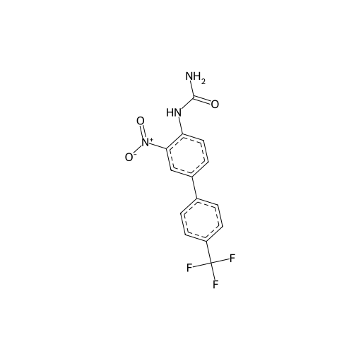 NC(=O)Nc1ccc(-c2ccc(C(F)(F)F)cc2)cc1[N+](=O)[O-]